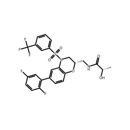 C[C@H](O)C(=O)NC[C@H]1CN(S(=O)(=O)c2cccc(C(F)(F)F)c2)c2cc(-c3cc(F)ccc3F)ccc2O1